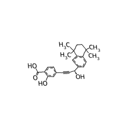 CC1(C)CCC(C)(C)c2cc([C@@H](O)C#Cc3ccc(C(=O)O)c(O)c3)ccc21